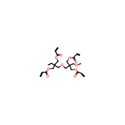 C=CC(=O)OCC(CC)(COCC(COC)(COC(=O)C=C)COC(=O)C=C)COC(=O)C=C